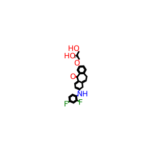 O=C1C2=CC=C(Nc3ccc(F)cc3F)CC2=CCc2ccc(OC[C@H](O)CO)cc21